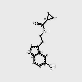 O=C(NCCc1coc2ccc(O)cc12)C1CC1